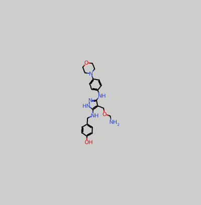 NCOCc1c(Nc2ccc(N3CCOCC3)cc2)n[nH]c1NCc1ccc(O)cc1